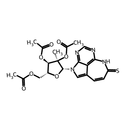 CC(=O)OC[C@H]1O[C@@H](n2cc3c4c(ncnc42)NC(=S)C=C3)[C@](C)(OC(C)=O)[C@@H]1OC(C)=O